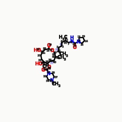 C/C(=C\C=C\[C@@H](C)CNC(=O)N1CCCC1)[C@H]1OC(=O)C[C@@H](O)CC[C@](C)(O)[C@H](OC(=O)N2CCN(C)CC2)/C=C/[C@@H]1C